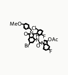 COc1ccc(CN2C(=O)c3cc(Br)cc(NC(=O)n4cc(OC(C)=O)c5cc(F)ccc54)c3C2c2cc(F)ccc2Cl)cc1